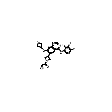 C=CC(=O)N1CC(c2cc3c(Nc4ccc(Cl)c(Cl)c4F)ncnc3cc2OC2COC2)C1